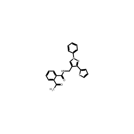 CC(=O)c1ccccc1C(=O)NCc1cn(-c2ccccc2)nc1-c1cccs1